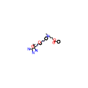 CCN(CCCCOC(=O)c1ccccc1)c1ccc(/C=C/c2ccc(/C=C/C3=C(C#N)C(=C(C#N)C#N)OC3(C)C)o2)cc1